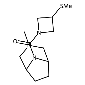 CSC1CN(C(=O)N2C3CCC2CN(C)C3)C1